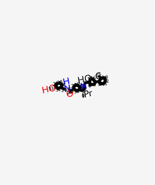 CC(C)c1cn(Cc2ccc(-c3ccccc3C(=O)O)cc2)c2ccc(C(=O)NCc3cccc(O)c3)cc12